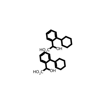 O=C(O)C(O)c1ccccc1C1=CCCCC1.O=C(O)C(O)c1ccccc1C1CCCCC1